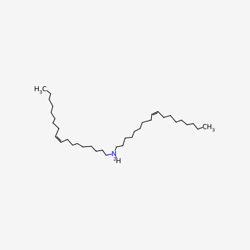 [2H]N(CCCCCCCC/C=C\CCCCCCCC)CCCCCCCC/C=C\CCCCCCCC